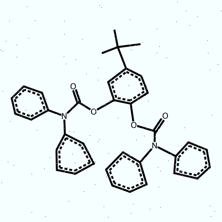 CC(C)(C)c1ccc(OC(=O)N(c2ccccc2)c2ccccc2)c(OC(=O)N(c2ccccc2)c2ccccc2)c1